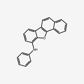 c1ccc(Nc2cccc3c2oc2c4ccccc4ccc32)cc1